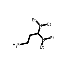 CCN(CC)C(CC[SiH3])N(CC)CC